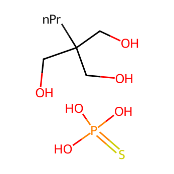 CCCC(CO)(CO)CO.OP(O)(O)=S